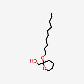 CCCCCCCCCCOC1(CO)CCCCO1